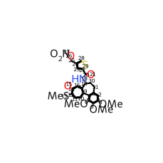 COc1cc2c(c(OC)c1OC)-c1ccc(SC)c(=O)cc1[C@@H](NC(=O)c1cc(CO[N+](=O)[O-])cs1)CC2